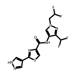 O=C(Nc1cn(CC(F)F)nc1C(F)F)c1csc(-c2cn[nH]c2)n1